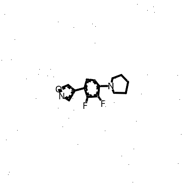 Fc1c(-c2cnoc2)ccc(N2CCCCC2)c1F